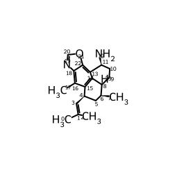 CC(C)=C[C@@H]1C[C@H](C)[C@H]2CC[C@H](N)c3c2c1c(C)c1ncoc31